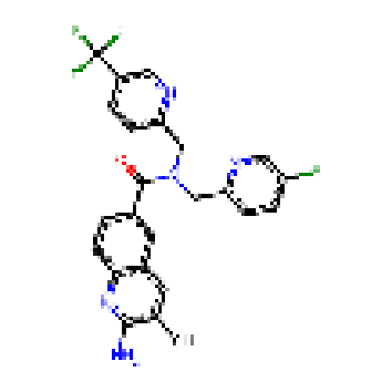 Cc1cc2cc(C(=O)N(Cc3ccc(F)cn3)Cc3ccc(C(F)(F)F)cn3)ccc2nc1N